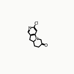 O=C1CCC2Cc3cnc(Cl)cc3N2C1